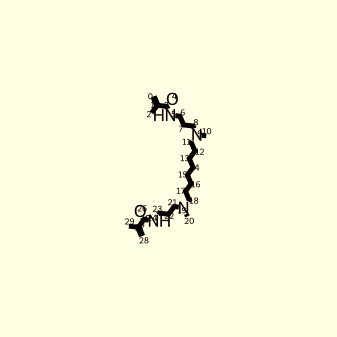 C=C(C)C(=O)NCCCN(C)CCCCCCCCN(C)CCCNC(=O)C(=C)C